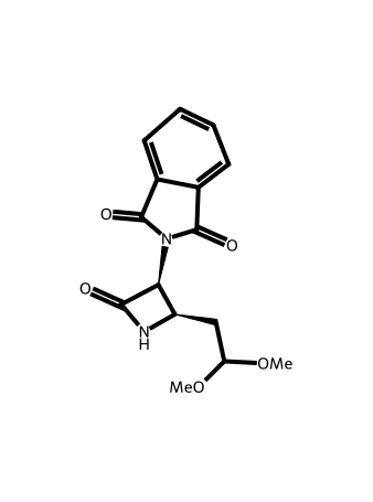 COC(C[C@H]1NC(=O)[C@H]1N1C(=O)c2ccccc2C1=O)OC